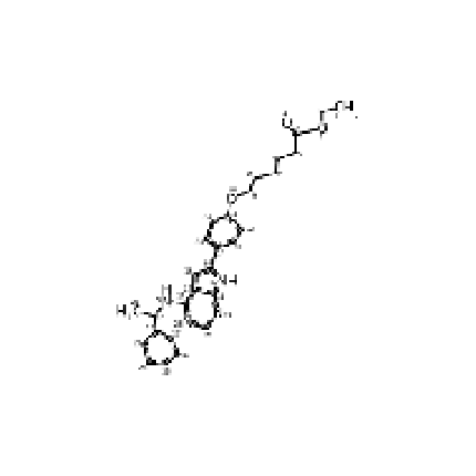 CCOC(=O)CCCCCOc1ccc(-c2cc3c(NC(C)c4ccccc4)ncnc3[nH]2)cc1